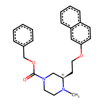 CN1CCN(C(=O)OCc2ccccc2)C[C@H]1CCOc1ccc2ccccc2c1